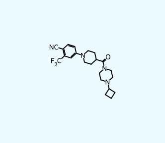 N#Cc1ccc(N2CCC(C(=O)N3CCN(C4CCC4)CC3)CC2)cc1C(F)(F)F